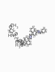 COc1ccc(NC(=O)CCC(=O)OCC2(C)Nc3cccc4c(/N=N/c5ccc(/N=N/c6ccccc6)c6ccccc56)ccc(c34)N2)cc1